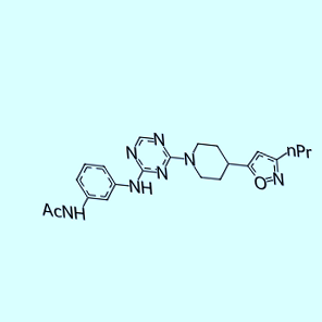 CCCc1cc(C2CCN(c3ncnc(Nc4cccc(NC(C)=O)c4)n3)CC2)on1